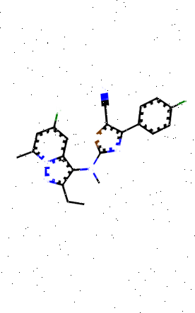 CCc1nn2c(C)cc(Br)cc2c1N(C)c1nc(-c2ccc(F)cc2)c(C#N)s1